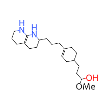 COC(O)CCC1CC=C(CCCC2CCC3=C(NCCC3)N2)CC1